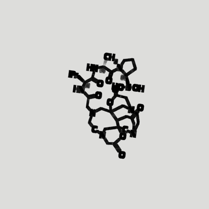 CC(C)[C@H](NC(=O)CN1CCN2CC(=O)OC3(CN4CCN5CC(=O)OC(C1)(C5)C3CC(=O)C4)C2)C(=O)N[C@H](C)C(=O)N1CCC[C@H]1B(O)O